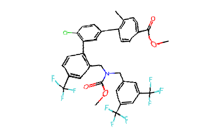 COC(=O)c1ccc(-c2ccc(Cl)c(-c3ccc(C(F)(F)F)cc3CN(Cc3cc(C(F)(F)F)cc(C(F)(F)F)c3)C(=O)OC)c2)c(C)c1